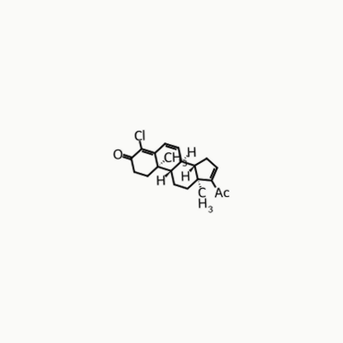 CC(=O)C1=CC[C@H]2[C@@H]3C=CC4=C(Cl)C(=O)CC[C@]4(C)[C@H]3CC[C@]12C